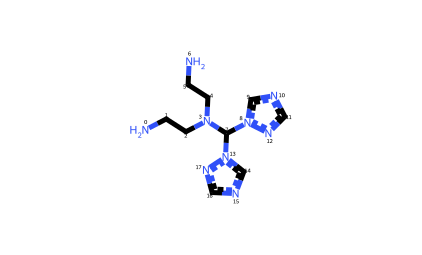 NCCN(CCN)C(n1cncn1)n1cncn1